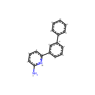 Nc1cccc(-c2cccc(-c3ccccc3)c2)n1